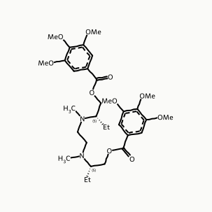 CC[C@@H](COC(=O)c1cc(OC)c(OC)c(OC)c1)N(C)CCN(C)[C@@H](CC)COC(=O)c1cc(OC)c(OC)c(OC)c1